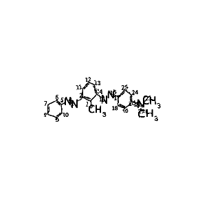 Cc1c(N=Nc2ccccc2)cccc1N=Nc1ccc(N(C)C)cc1